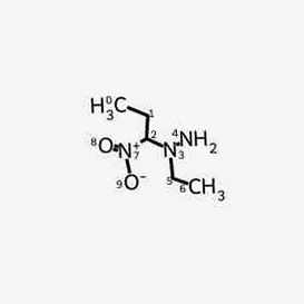 CCC(N(N)CC)[N+](=O)[O-]